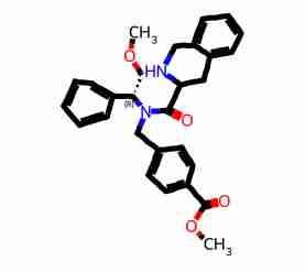 COC[C@@H](c1ccccc1)N(Cc1ccc(C(=O)OC)cc1)C(=O)C1Cc2ccccc2CN1